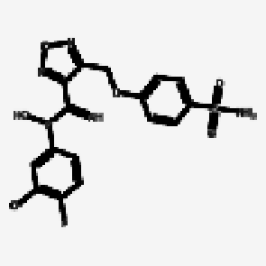 N=C(c1nonc1COc1ccc(S(N)(=O)=O)cc1)N(O)c1ccc(F)c(Cl)c1